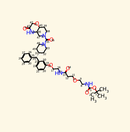 CC(C)(C)OC(=O)NCCOCCC(=O)NCCOc1cccc([C@H](c2ccccc2)C2CCN(C(=O)N3CCC4OCC(=O)NC4C3)CC2)c1